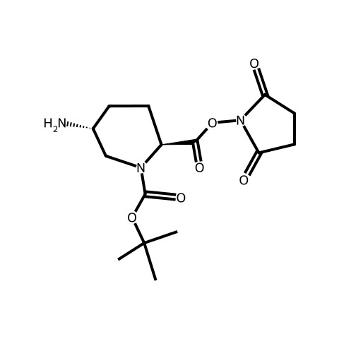 CC(C)(C)OC(=O)N1C[C@H](N)CC[C@H]1C(=O)ON1C(=O)CCC1=O